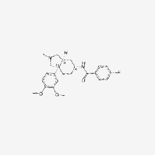 COc1ccc([C@@]23CC[C@@H](NC(=O)c4ccc(F)cc4)C[C@@H]2CN(C)C3)cc1OC